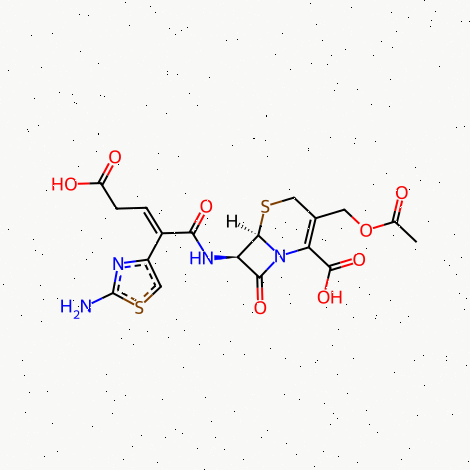 CC(=O)OCC1=C(C(=O)O)N2C(=O)[C@@H](NC(=O)/C(=C/CC(=O)O)c3csc(N)n3)[C@H]2SC1